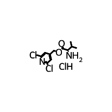 CC(C)[C@H](N)C(=O)OCc1cc(Cl)nc(Cl)c1.Cl